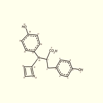 O=C(O)C(Cc1ccc(O)cc1)N(C1=NC=C1)c1ccc(O)cc1